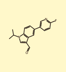 CC(C)n1cc(C=O)c2cc(-c3ccc(F)nc3)ccc21